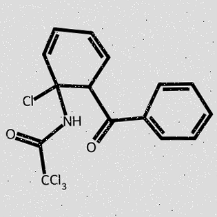 O=C(c1ccccc1)C1C=CC=CC1(Cl)NC(=O)C(Cl)(Cl)Cl